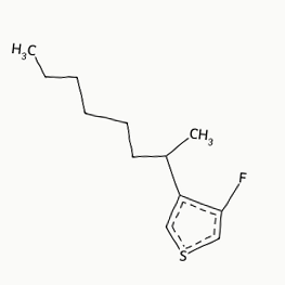 CCCCCCC(C)c1cscc1F